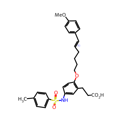 COc1ccc(/C=C/CCCCOc2ccc(NS(=O)(=O)c3ccc(C)cc3)cc2CCC(=O)O)cc1